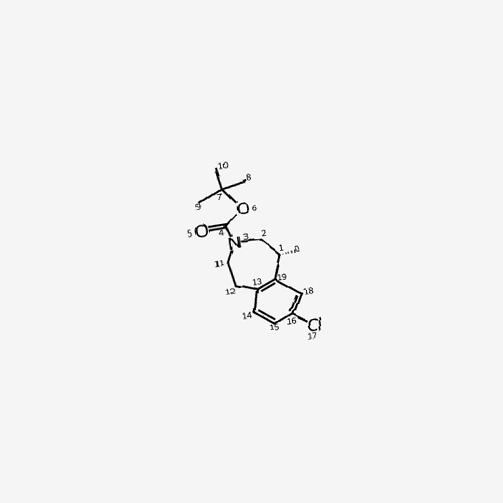 C[C@H]1CN(C(=O)OC(C)(C)C)CCc2ccc(Cl)cc21